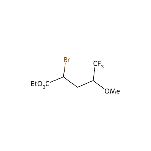 CCOC(=O)C(Br)CC(OC)C(F)(F)F